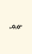 Brc1ccc(Oc2cccc(Br)c2)cc1